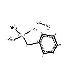 CC(=O)[O-].CCCC[N+](CCCC)(CCCC)Cc1ccccc1